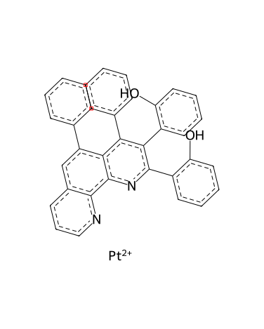 Oc1ccccc1-c1nc2c(c(-c3ccccc3)cc3cccnc32)c(-c2ccccc2)c1-c1ccccc1O.[Pt+2]